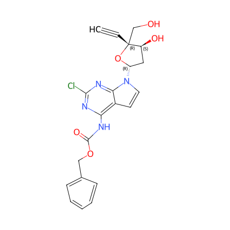 C#C[C@]1(CO)O[C@@H](n2ccc3c(NC(=O)OCc4ccccc4)nc(Cl)nc32)C[C@@H]1O